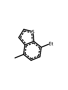 CCc1ccc(C)c2ccsc12